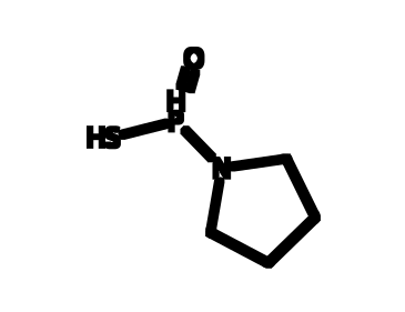 O=[PH](S)N1CCCC1